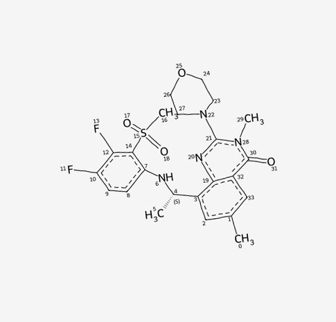 Cc1cc([C@H](C)Nc2ccc(F)c(F)c2S(C)(=O)=O)c2nc(N3CCOCC3)n(C)c(=O)c2c1